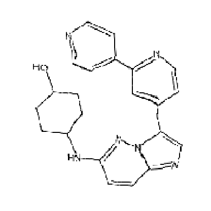 OC1CCC(Nc2ccc3ncc(-c4ccnc(-c5ccncc5)c4)n3n2)CC1